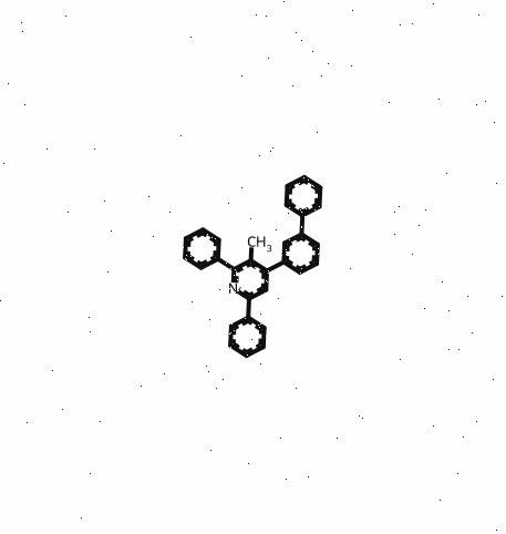 Cc1c(-c2cccc(-c3ccccc3)c2)cc(-c2ccccc2)nc1-c1ccccc1